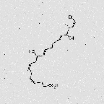 CC/C=C\C[C@@H](O)/C=C/C=C/C=C/[C@H](O)C/C=C\C/C=C\CCC(=O)O